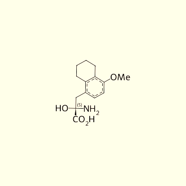 COc1ccc(C[C@](N)(O)C(=O)O)c2c1CCCC2